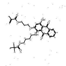 C=C(C)C(=O)OCCCOc1cc(O)c2c(c1NCCCCOC(=O)C(C)(C)C)C(=O)c1ccccc1C2=O